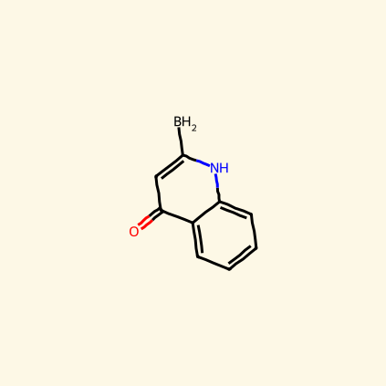 Bc1cc(=O)c2ccccc2[nH]1